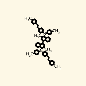 Cc1ccc(/C=C/c2ccc(N(c3ccc(C)cc3)c3c(C)cc(-c4cc(C)c(N(c5ccc(C)cc5)c5ccc(/C=C/c6ccc(C)cc6)cc5)c5ccccc45)c4ccccc34)cc2)cc1